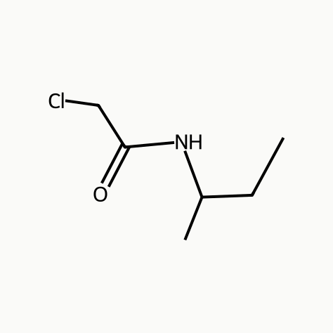 CCC(C)NC(=O)CCl